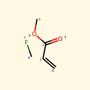 C=CC(=O)OC.CF